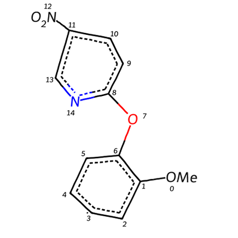 COc1c[c]ccc1Oc1ccc([N+](=O)[O-])cn1